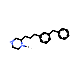 CN1CCNCC1CCCc1cccc(Cc2ccccc2)c1